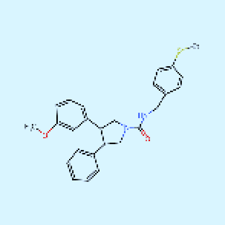 CCSc1ccc(CNC(=O)N2CC(c3ccccc3)C(c3cccc(OC(F)(F)F)c3)C2)cc1